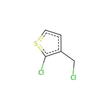 ClCc1ccsc1Cl